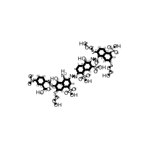 Nc1c(N=Nc2ccc3c(O)c(N=Nc4c(SOOO)ccc5c(S(=O)(=O)O)cc(SOOO)cc45)c(S(=O)(=O)O)cc3c2S(=O)(=O)O)cc(S(=O)(=O)O)c2cc(SOOO)c(N=Nc3ccc([N+](=O)[O-])cc3C(=O)O)c(O)c12